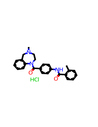 Cc1ccccc1C(=O)Nc1ccc(C(=O)N2CCN(C)Cc3ccccc32)cc1.Cl